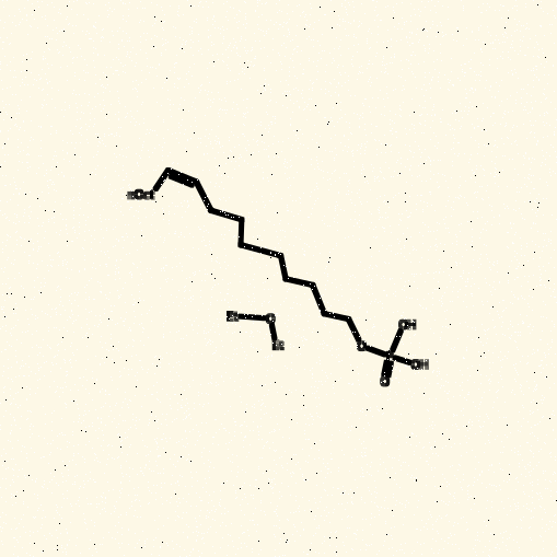 CCCCCCCC/C=C\CCCCCCCCOP(=O)(O)O.CCOCC